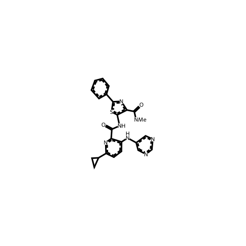 CNC(=O)c1nc(-c2ccccc2)sc1NC(=O)c1nc(C2CC2)ccc1Nc1cncnc1